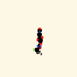 O=c1c(-c2ccc(N3CCOCC3)cc2)coc2cc(OCc3noc(-c4cc(F)cc(C(F)(F)F)c4)n3)ccc12